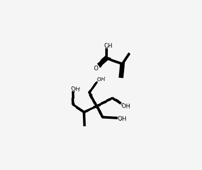 C=C(C)C(=O)O.CC(CO)C(CO)(CO)CO